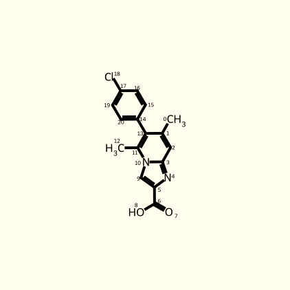 Cc1cc2nc(C(=O)O)cn2c(C)c1-c1ccc(Cl)cc1